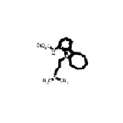 CCOC(=O)Nc1cccc2c3c(n(CCCN(C)C)c12)CCCCCC3